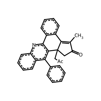 CC(=O)CC12CC(=O)C(C)=C1c1ccccc1-c1nc3ccccc3c(-c3ccccc3)c12